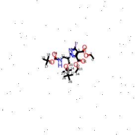 CCOC(=O)c1c(I)nn(C(CNC(=O)OC(C)(C)C)CO[Si](C)(C)C(C)(C)C)c1C(=O)OCC